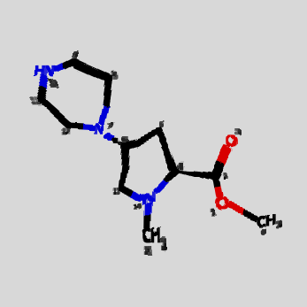 COC(=O)[C@@H]1C[C@@H](N2CCNCC2)CN1C